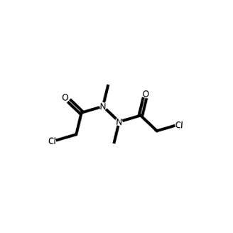 CN(C(=O)CCl)N(C)C(=O)CCl